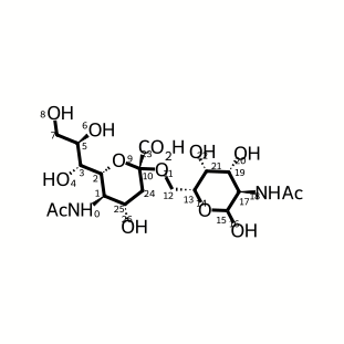 CC(=O)N[C@H]1[C@H]([C@H](O)[C@H](O)CO)O[C@@](OC[C@H]2OC(O)[C@H](NC(C)=O)[C@@H](O)[C@H]2O)(C(=O)O)C[C@@H]1O